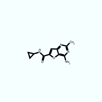 Cc1nc(N)c2oc(C(=O)NC3CC3)cc2n1